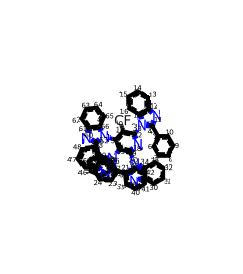 FC(F)(F)c1c(-n2c(-c3ccccc3)nc3ccccc32)nc(-n2c(-c3ccccc3)nc3ccccc32)c(-n2c(-c3ccccc3)nc3ccccc32)c1-n1c(-c2ccccc2)nc2ccccc21